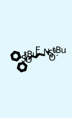 CC(C)(C)[S@@+]([O-])N=C/C(F)=C/CO[Si](c1ccccc1)(c1ccccc1)C(C)(C)C